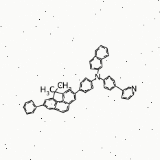 CC1(C)c2cc(-c3ccccc3)cc3ccc4cc(-c5ccc(N(c6ccc(-c7cccnc7)cc6)c6ccc7ccccc7c6)cc5)cc1c4c23